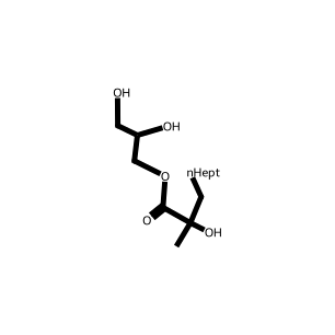 CCCCCCCCC(C)(O)C(=O)OCC(O)CO